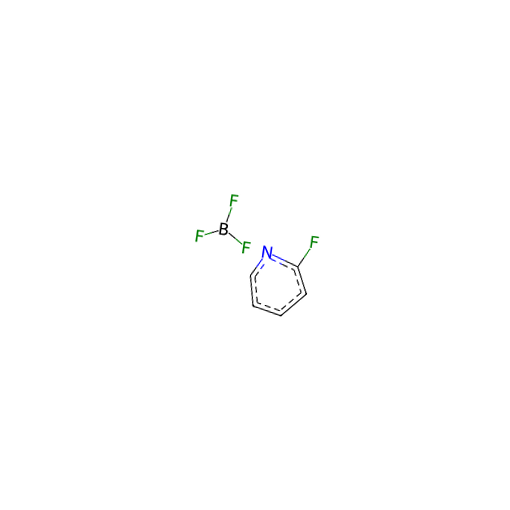 FB(F)F.Fc1ccccn1